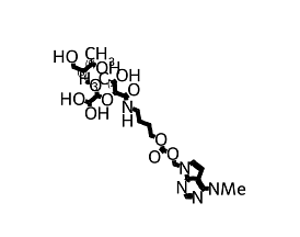 CNc1ncnc2c1ccn2COC(=O)OCCCCNC(=O)C(OC(OC[C@H](CO)[C@H](C)O)C(O)O)[C@H](C)O